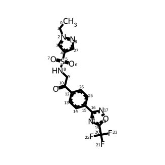 CCn1cc(S(=O)(=O)NCC(=O)c2ccc(-c3noc(C(F)(F)F)n3)cc2)cn1